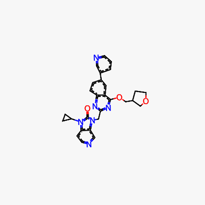 O=c1n(Cc2nc(OCC3CCOC3)c3cc(-c4cccnc4)ccc3n2)c2cnccc2n1C1CC1